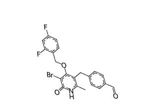 Cc1[nH]c(=O)c(Br)c(OCc2ccc(F)cc2F)c1Cc1ccc(C=O)cc1